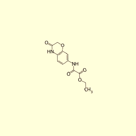 CCOC(=O)C(=O)Nc1ccc2c(c1)OCC(=O)N2